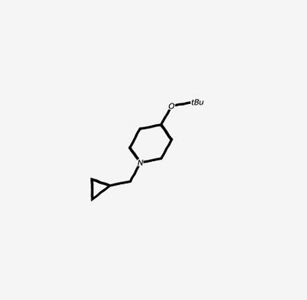 CC(C)(C)OC1CCN(CC2CC2)CC1